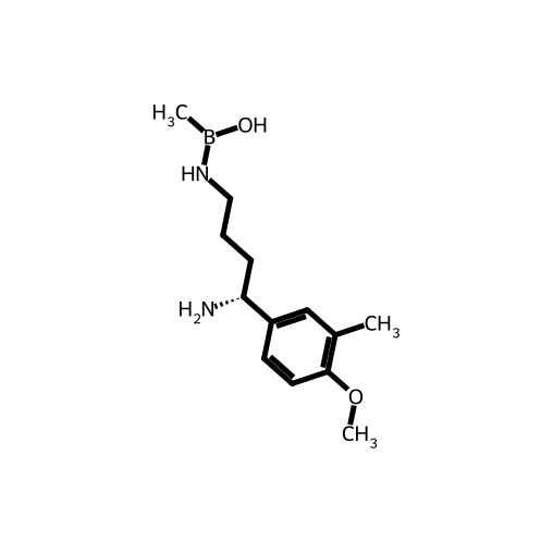 COc1ccc([C@H](N)CCCNB(C)O)cc1C